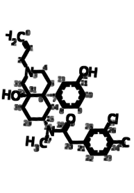 C=CCN1CC[C@@]2(c3cccc(O)c3)C[C@H](N(C)C(=O)Cc3ccc(Cl)c(Cl)c3)CC[C@]2(O)C1